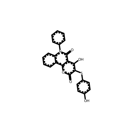 O=c1oc2c(c(O)c1Sc1ccc(O)cc1)c(=O)n(-c1ccccc1)c1ccccc21